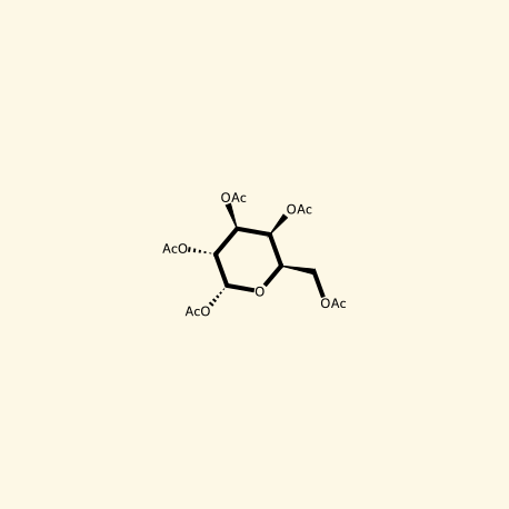 CC(=O)OC[C@H]1O[C@H](OC(C)=O)[C@H](OC(C)=O)[C@@H](OC(C)=O)[C@H]1OC(C)=O